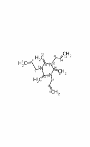 C=CCN1C(=C)N(CC=C)C(=C)N(CC=C)C1=C